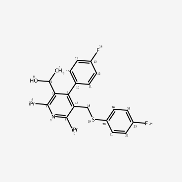 CC(C)c1nc(C(C)C)c(C(C)O)c(-c2ccc(F)cc2)c1CSc1ccc(F)cc1